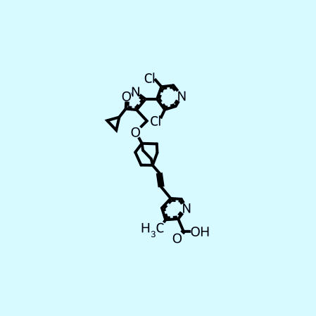 Cc1cc(C#CC23CCC(OCc4c(-c5c(Cl)cncc5Cl)noc4C4CC4)(CC2)CC3)cnc1C(=O)O